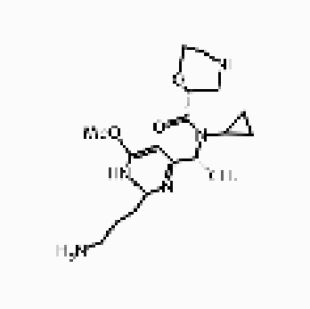 COC1=CC([C@@H](C)N(C(=O)[C@H]2CNCCO2)C2CC2)=NC(CCCN)N1